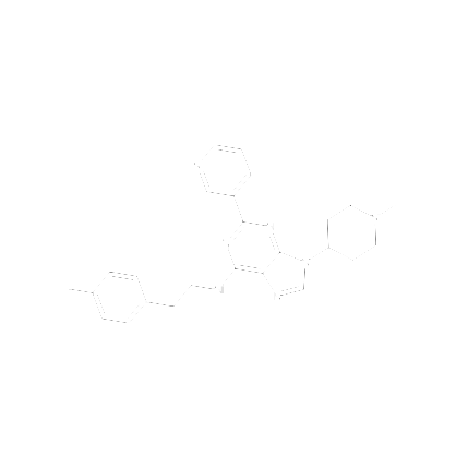 CN1CCC(n2cnc3c(NCCc4ccc(O)cc4)nc(-c4cccnc4)nc32)CC1